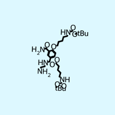 CC(C)(C)OC(=O)NCCCCCOc1cc(OCCCCCNC(=O)OC(C)(C)C)c(C(=O)NCCN)cc1C(N)=O